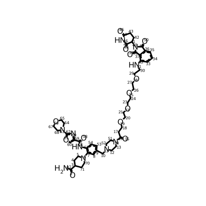 NC(=O)C1CCN(c2cc(CN3CCN(C(=O)CCOCCOCCOCCOCCNc4cccc5c4C(=O)N(C4CCC(=O)NC4=O)C5=O)CC3)ccc2NC(=O)c2coc(N3CCOCC3)n2)CC1